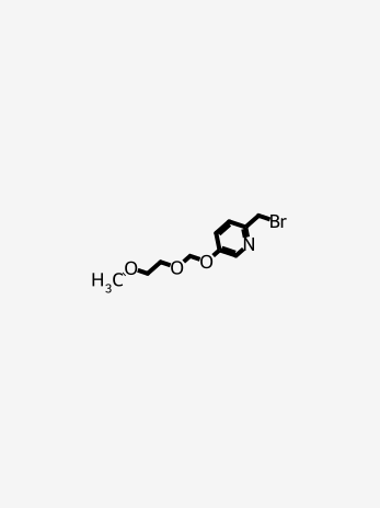 COCCOCOc1ccc(CBr)nc1